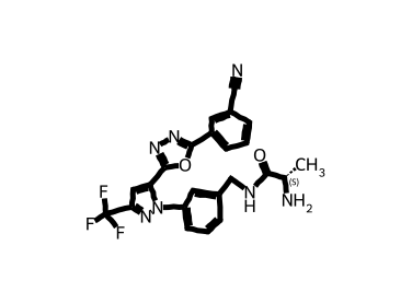 C[C@H](N)C(=O)NCc1cccc(-n2nc(C(F)(F)F)cc2-c2nnc(-c3cccc(C#N)c3)o2)c1